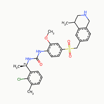 COc1cc(S(=O)(=O)Cc2ccc3c(c2)C(C)CNC3)ccc1NC(=O)N[C@H](C)c1cccc(C)c1Cl